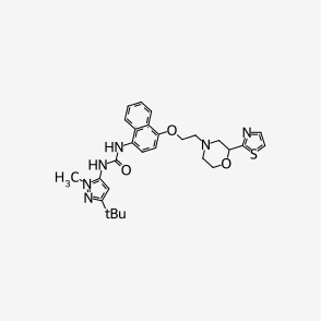 Cn1nc(C(C)(C)C)cc1NC(=O)Nc1ccc(OCCN2CCOC(c3nccs3)C2)c2ccccc12